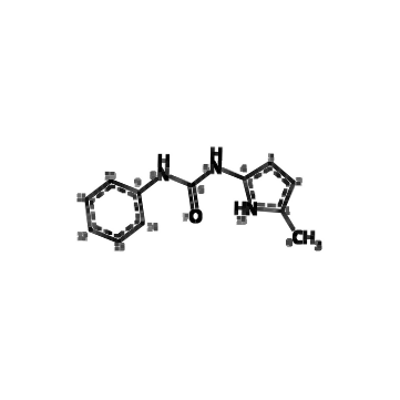 Cc1ccc(NC(=O)Nc2ccccc2)[nH]1